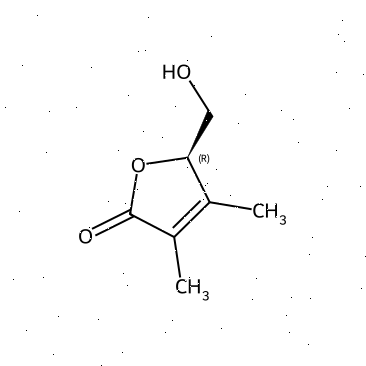 CC1=C(C)[C@H](CO)OC1=O